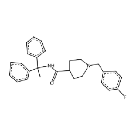 CC(NC(=O)C1CCN(Cc2ccc(F)cc2)CC1)(c1ccccc1)c1ccccc1